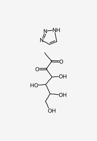 CC(=O)C(=O)C(O)C(O)C(O)CO.c1c[nH]nn1